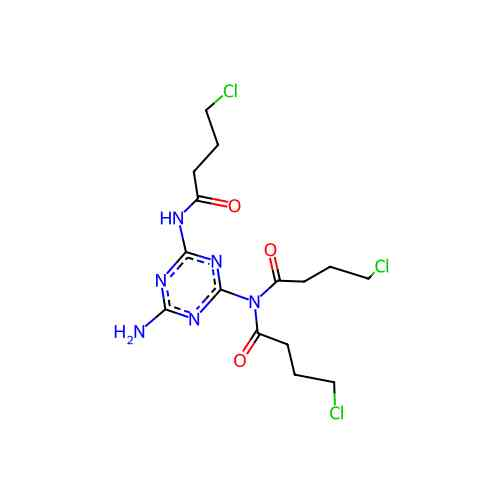 Nc1nc(NC(=O)CCCCl)nc(N(C(=O)CCCCl)C(=O)CCCCl)n1